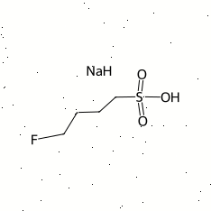 O=S(=O)(O)CCCCF.[NaH]